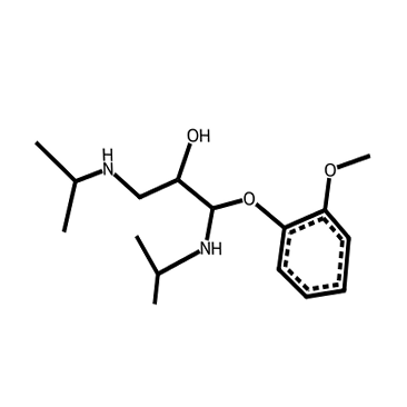 COc1ccccc1OC(NC(C)C)C(O)CNC(C)C